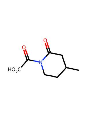 CC1CCN(C(=O)C(=O)O)C(=O)C1